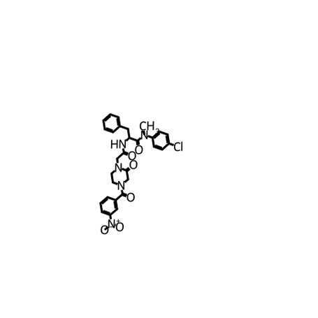 CN(C(=O)C(Cc1ccccc1)NC(=O)CN1CCN(C(=O)c2cccc([N+](=O)[O-])c2)CC1=O)c1ccc(Cl)cc1